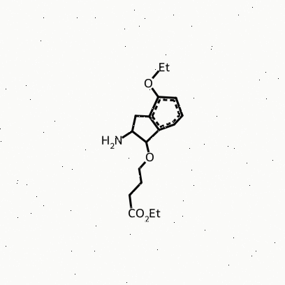 CCOC(=O)CCCOC1c2cccc(OCC)c2CC1N